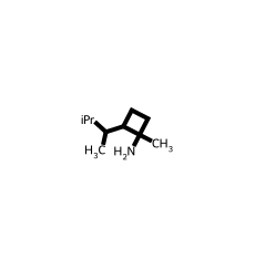 CC(C)C(C)C1CCC1(C)N